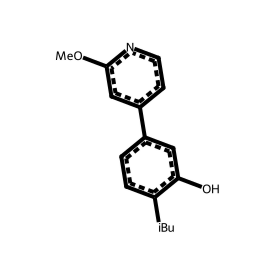 CCC(C)c1ccc(-c2ccnc(OC)c2)cc1O